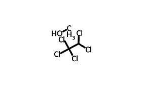 CO.ClC(Cl)C(Cl)(Cl)Cl